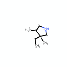 CC[C@@]1(C)CNC[C@@H]1C